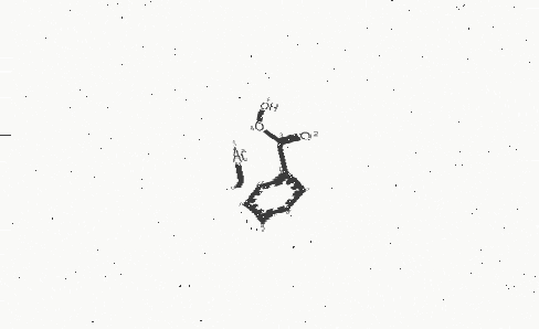 CC(C)=O.O=C(OO)c1ccccc1